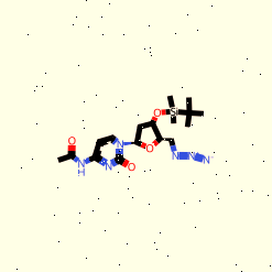 CC(=O)Nc1ccn([C@H]2CC(O[Si](C)(C)C(C)(C)C)[C@@H](CN=[N+]=[N-])O2)c(=O)n1